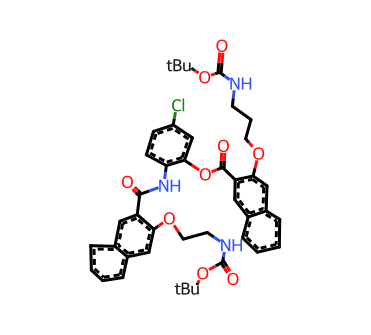 CC(C)(C)OC(=O)NCCCOc1cc2ccccc2cc1C(=O)Oc1cc(Cl)ccc1NC(=O)c1cc2ccccc2cc1OCCNC(=O)OC(C)(C)C